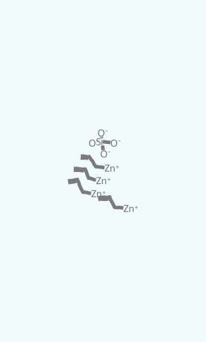 C=C[CH2][Zn+].C=C[CH2][Zn+].C=C[CH2][Zn+].C=C[CH2][Zn+].[O-][Si]([O-])([O-])[O-]